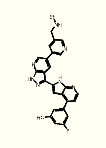 CCNCc1cncc(-c2cnc3[nH]nc(-c4cc5c(-c6cc(O)cc(F)c6)ccnc5[nH]4)c3c2)c1